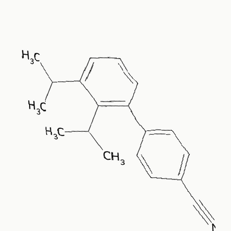 CC(C)c1cccc(-c2ccc(C#N)cc2)c1C(C)C